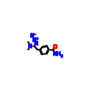 CN(C)C(Cc1ccc(C(N)=O)cc1)N=[N+]=[N-]